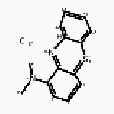 CN(C)c1cccc2[s+]c3ccccc3nc12.[Cl-]